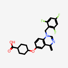 C=C1N=CN(Cc2c(F)cc(F)cc2F)c2ccc(OC3CCC(C(=O)O)CC3)cc21